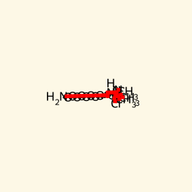 Cc1sc2c(c1C)C(c1ccc(Cl)cc1)=N[C@@H](CC(=O)Nc1ccc(CCCOCCOCCOCCOCCOCCOCCOCCOCCN)cc1)c1nnc(C)n1-2